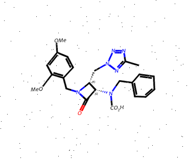 COc1ccc(CN2C(=O)[C@@H](N(Cc3ccccc3)C(=O)O)[C@H]2Cn2nnc(C)n2)c(OC)c1